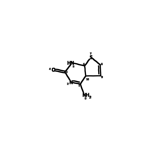 NC1=NC(=O)NC2SC=CC12